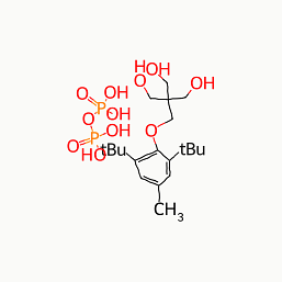 Cc1cc(C(C)(C)C)c(OCC(CO)(CO)CO)c(C(C)(C)C)c1.O=P(O)(O)OP(=O)(O)O